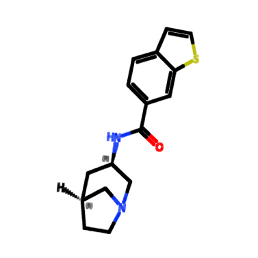 O=C(N[C@@H]1C[C@@H]2CCN(C2)C1)c1ccc2ccsc2c1